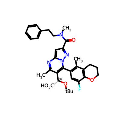 Cc1nc2cc(C(=O)N(C)CCc3ccccc3)nn2c(-c2cc(F)c3c(c2C)CCCO3)c1[C@H](OC(C)(C)C)C(=O)O